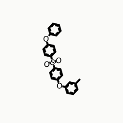 Cc1cccc(Oc2ccc(S(=O)(=O)c3ccc(Oc4ccccc4)cc3)cc2)c1